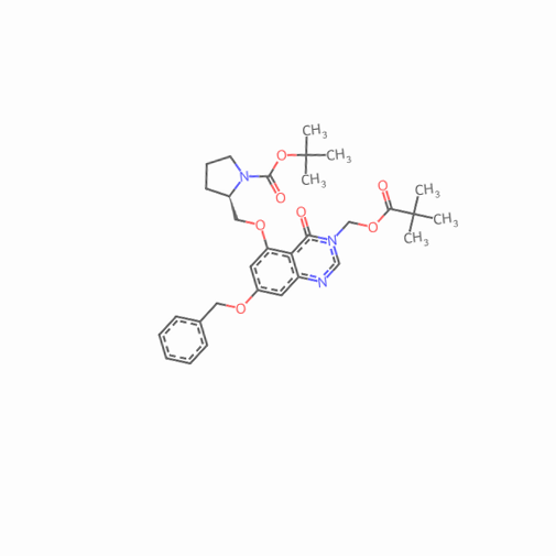 CC(C)(C)OC(=O)N1CCC[C@@H]1COc1cc(OCc2ccccc2)cc2ncn(COC(=O)C(C)(C)C)c(=O)c12